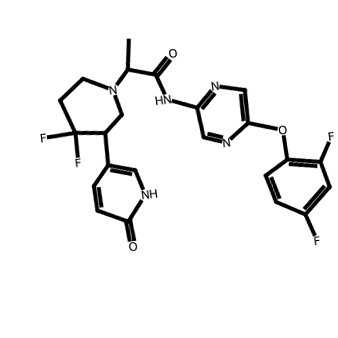 CC(C(=O)Nc1cnc(Oc2ccc(F)cc2F)cn1)N1CCC(F)(F)C(c2ccc(=O)[nH]c2)C1